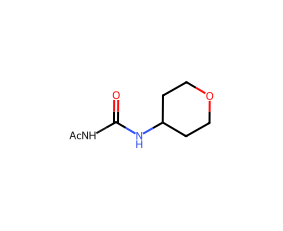 [CH2]C(=O)NC(=O)NC1CCOCC1